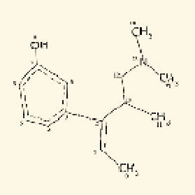 CC=C(c1cccc(O)c1)C(C)CN(C)C